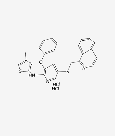 Cc1csc(Nc2ncc(SCc3nccc4ccccc34)cc2Oc2ccccc2)n1.Cl.Cl